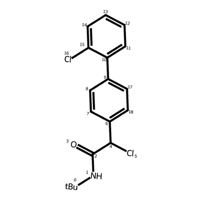 CC(C)(C)NC(=O)C(Cl)c1ccc(-c2ccccc2Cl)cc1